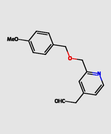 COc1ccc(COCc2cc(CC=O)ccn2)cc1